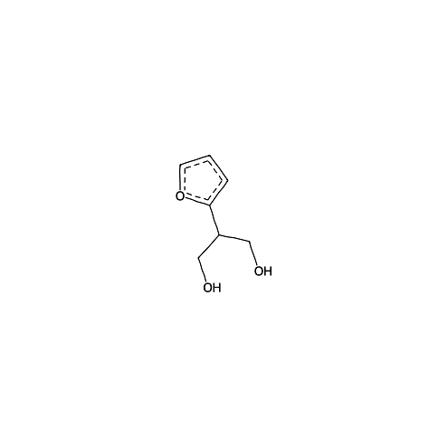 OCC(CO)c1ccco1